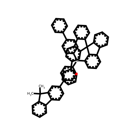 CC1(C)c2ccccc2-c2ccc(-c3ccc(N(c4ccc(-c5ccccc5)cc4)c4cccc5c4C4(c6ccccc6-c6ccc(-c7ccccc7)cc64)c4ccccc4-5)cc3)cc21